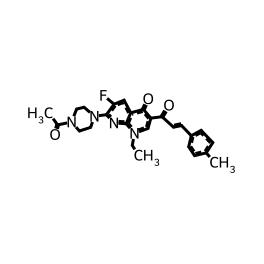 CCn1cc(C(=O)C=Cc2ccc(C)cc2)c(=O)c2cc(F)c(N3CCN(C(C)=O)CC3)nc21